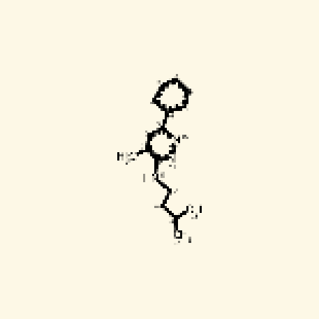 Cc1cc(-c2ccccc2)nnc1NCCC(C)O